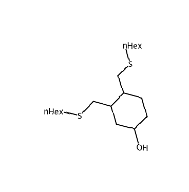 CCCCCCSCC1CCC(O)CC1CSCCCCCC